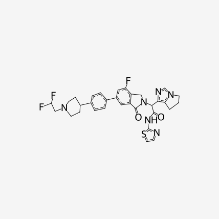 O=C(Nc1nccs1)C(c1ncn2c1CCC2)N1Cc2c(F)cc(-c3ccc(C4CCN(CC(F)F)CC4)cc3)cc2C1=O